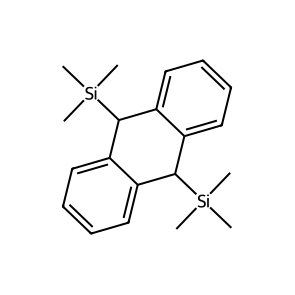 C[Si](C)(C)C1c2ccccc2C([Si](C)(C)C)c2ccccc21